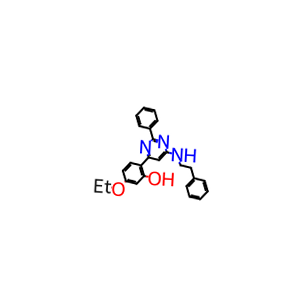 CCOc1ccc(-c2cc(NCCc3ccccc3)nc(-c3ccccc3)n2)c(O)c1